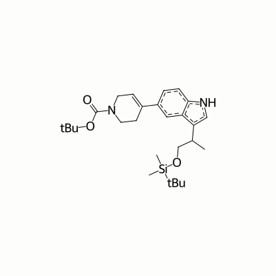 CC(CO[Si](C)(C)C(C)(C)C)c1c[nH]c2ccc(C3=CCN(C(=O)OC(C)(C)C)CC3)cc12